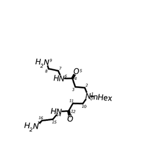 CCCCCCN(CCC(=O)NCCN)CCC(=O)NCCN